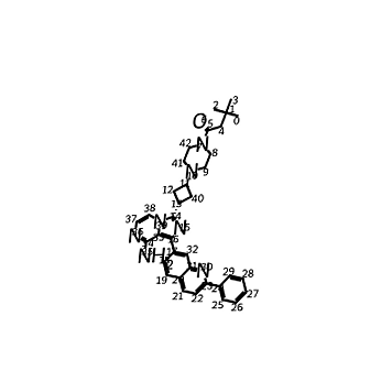 CC(C)(C)CC(=O)N1CCN([C@H]2C[C@@H](c3nc(-c4ccc5ccc(-c6ccccc6)nc5c4)c4c(N)nccn43)C2)CC1